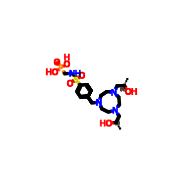 C[C@H](O)CN1CCN(Cc2ccc(S(=O)(=O)NCP(=O)(O)O)cc2)CCN(C[C@H](C)O)CC1